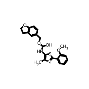 COc1ccccc1-c1nc(C)c(NC(O)OCc2ccc3c(c2)CCO3)s1